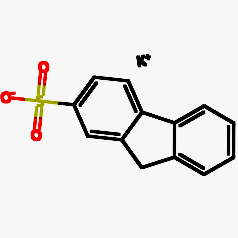 O=S(=O)([O-])c1ccc2c(c1)Cc1ccccc1-2.[K+]